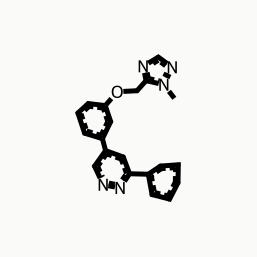 Cn1ncnc1COc1cccc(-c2cnnc(-c3ccccc3)c2)c1